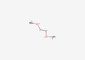 CCCO[CH]COC(C)(C)C